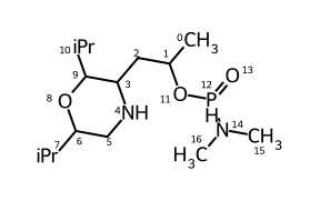 CC(CC1NCC(C(C)C)OC1C(C)C)O[PH](=O)N(C)C